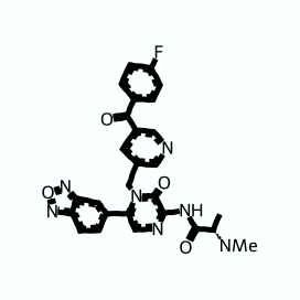 CN[C@@H](C)C(=O)Nc1ncc(-c2ccc3nonc3c2)n(Cc2cncc(C(=O)c3ccc(F)cc3)c2)c1=O